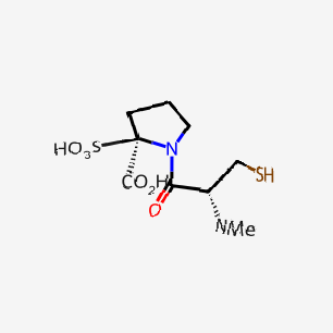 CN[C@@H](CS)C(=O)N1CCC[C@]1(C(=O)O)S(=O)(=O)O